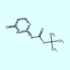 CC(C)(C)OC(=O)/N=c1/[nH]c(=O)ccs1